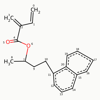 C=CC(=C)C(=O)OC(C)CCc1cccc2ccccc12